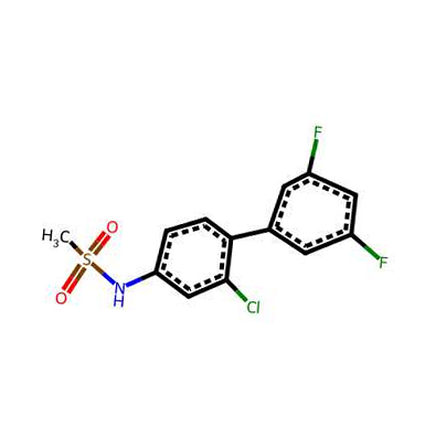 CS(=O)(=O)Nc1ccc(-c2cc(F)cc(F)c2)c(Cl)c1